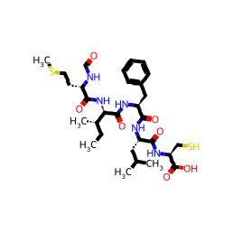 CC[C@H](C)[C@H](NC(=O)[C@H](CCSC)NC=O)C(=O)N[C@@H](Cc1ccccc1)C(=O)N[C@@H](CC(C)C)C(=O)N[C@@H](CS)C(=O)O